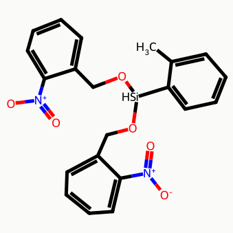 Cc1ccccc1[SiH](OCc1ccccc1[N+](=O)[O-])OCc1ccccc1[N+](=O)[O-]